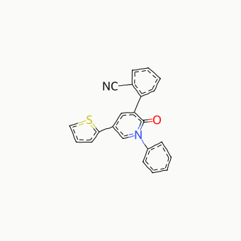 N#Cc1ccccc1-c1cc(-c2cccs2)cn(-c2ccccc2)c1=O